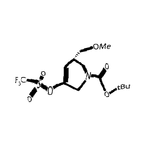 COC[C@H]1C=C(OS(=O)(=O)C(F)(F)F)CN1C(=O)OC(C)(C)C